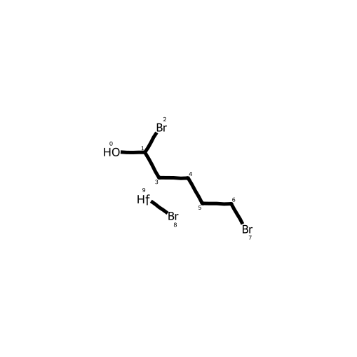 OC(Br)CCCCBr.[Br][Hf]